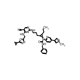 CCCC1/C(=[N+](/C(=O)NCc2ccccc2)c2ccc(-c3cnn(C)c3)cn2)C1CCCNc1ncc(C#N)c(NCc2nnc(C3CC3)o2)n1